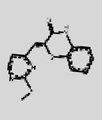 CSc1nccc(C=C2Sc3ccccc3NC2=O)n1